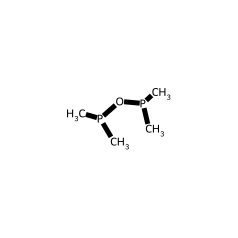 CP(C)OP(C)C